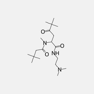 CN(C)CCNC(=O)C(CC(=O)C(C)(C)C)N(C)C(=O)CC(C)(C)C